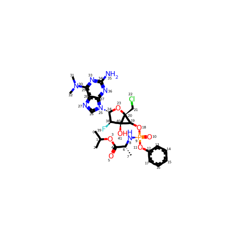 CC(C)OC(=O)[C@@H](C)N[P@@](=O)(Oc1ccccc1)OC1[C@@]2(CCl)O[C@@H](n3cnc4c(N(C)C)nc(N)nc43)[C@H](F)[C@@]12O